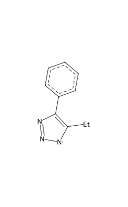 CCC1=C(c2ccccc2)N=N[N]1